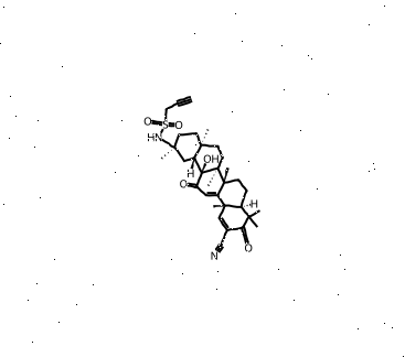 C#CCS(=O)(=O)N[C@@]1(C)CC[C@@]2(C)CC[C@@]3(C)[C@]4(C)CC[C@H]5C(C)(C)C(=O)C(C#N)=C[C@]5(C)C4=CC(=O)[C@]3(O)[C@@H]2C1